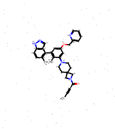 CC#CC(=O)N1CC2(CCN(c3cc(OCc4ccccn4)cc(-c4c(C)ccc5[nH]ncc45)c3C#N)CC2)C1